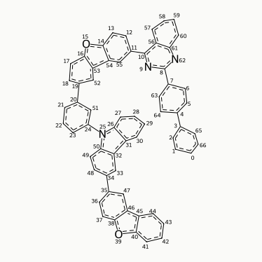 c1ccc(-c2ccc(-c3nc(-c4ccc5oc6ccc(-c7cccc(-n8c9ccccc9c9cc(-c%10ccc%11oc%12ccccc%12c%11c%10)ccc98)c7)cc6c5c4)c4ccccc4n3)cc2)cc1